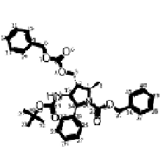 C[C@@H]1[C@@H](COC(=O)OCc2ccccc2)[C@H](NC(=O)OC(C)(C)C)[C@H](c2ccccc2)N1C(=O)OCc1ccccc1